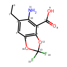 CCc1cc2c(c(C(=O)O)c1N)OC(F)(F)O2